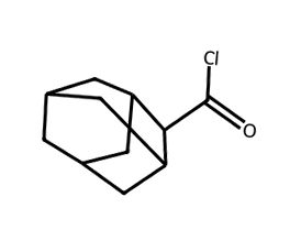 O=C(Cl)C1C2CC3CC(C2)CC1C3